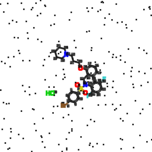 Cl.O=S(=O)(c1ccc(Br)cc1)N(Cc1ccccc1OCCCN1CCCCC1)c1cc(F)ccc1F